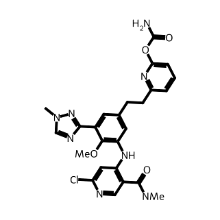 CNC(=O)c1cnc(Cl)cc1Nc1cc(CCc2cccc(OC(N)=O)n2)cc(-c2ncn(C)n2)c1OC